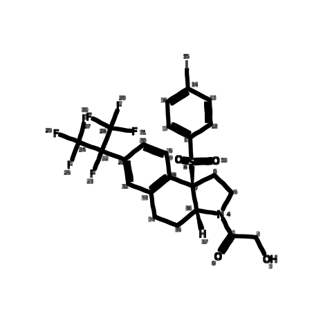 O=C(CO)N1CC[C@@]2(S(=O)(=O)c3ccc(I)cc3)c3ccc(C(F)(C(F)(F)F)C(F)(F)F)cc3CC[C@@H]12